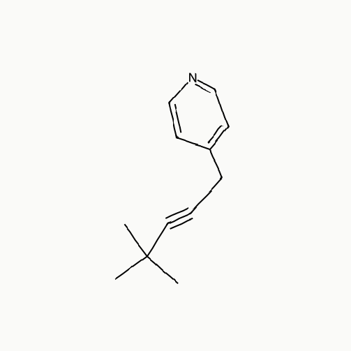 CC(C)(C)C#CCc1ccncc1